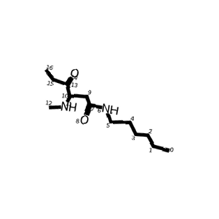 CCCCCCNC(=O)CC(NC)C(=O)CC